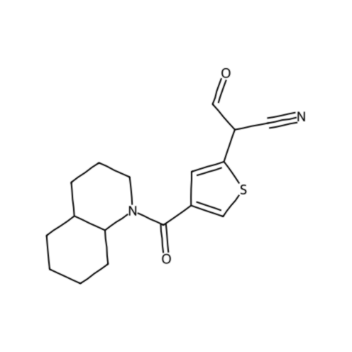 N#CC(C=O)c1cc(C(=O)N2CCCC3CCCCC32)cs1